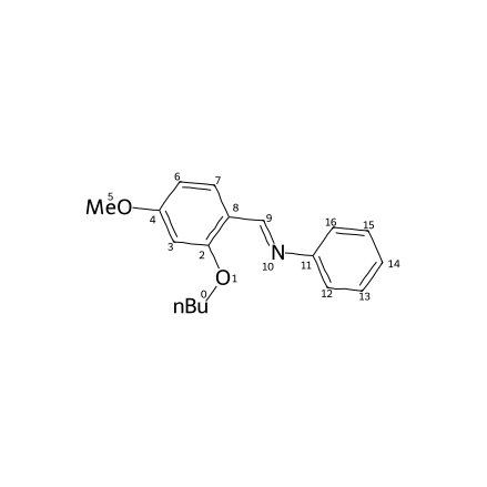 CCCCOc1cc(OC)ccc1/C=N/c1ccccc1